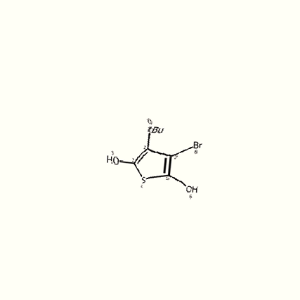 CC(C)(C)c1c(O)sc(O)c1Br